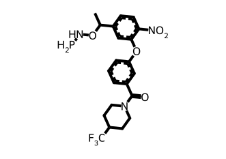 CC(ONP)c1ccc([N+](=O)[O-])c(Oc2cccc(C(=O)N3CCC(C(F)(F)F)CC3)c2)c1